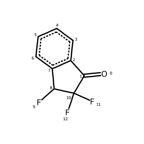 O=C1c2ccccc2C(F)C1(F)F